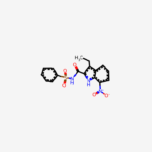 CCc1c(C(=O)NS(=O)(=O)c2ccccc2)[nH]c2c([N+](=O)[O-])cccc12